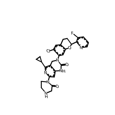 O=C1CNCCN1c1cc2c(c(C3CC3)n1)CN(c1cc3c(cc1Cl)CCC(c1ncccc1F)O3)C(=O)N2